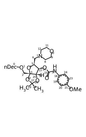 CCCCCCCCCCOC[C@@]12O[C@@H](CN3CCOCC3)[C@@H](OC(=O)Nc3ccc(OC)cc3)[C@@H]1OC(C)(C)O2